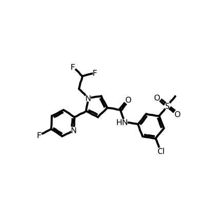 CS(=O)(=O)c1cc(Cl)cc(NC(=O)c2cc(-c3ccc(F)cn3)n(CC(F)F)c2)c1